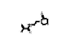 C=C(C)C(=O)NCCN1CCCC1=O